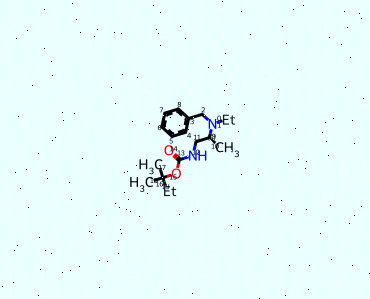 CCN(Cc1ccccc1)[C@@H](C)CNC(=O)OC(C)(C)CC